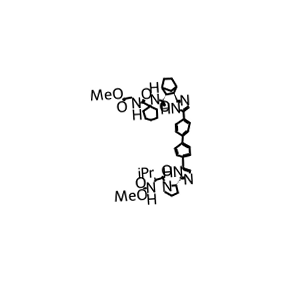 COC(=O)CNC(=O)C1(NC(=O)[C@@H]2C3CCC(C3)[C@H]2c2ncc(-c3ccc(-c4ccc(-c5cnc([C@@H]6CCCN6C(=O)[C@@H](NC(=O)OC)C(C)C)[nH]5)cc4)cc3)[nH]2)CCCCC1